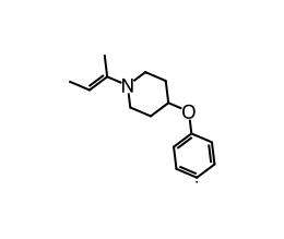 CC=C(C)N1CCC(Oc2cc[c]cc2)CC1